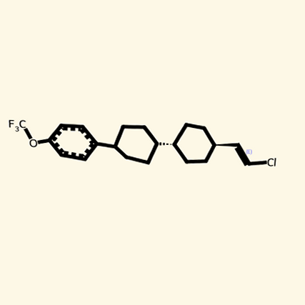 FC(F)(F)Oc1ccc(C2CCC([C@H]3CC[C@H](/C=C/Cl)CC3)CC2)cc1